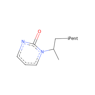 CCCC(C)CC(C)n1cccnc1=O